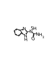 NC(=O)N(S)c1nc2ccccc2[nH]1